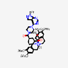 CCCn1ncc2c(N3CCN(C(=O)C4CCC5(c6cc(OC)c(OC)cc6CCN5C(=O)CCNC)C(C5c6cc(OC)c(OC)cc6CCN5CC)C4)CC3)ncnc21